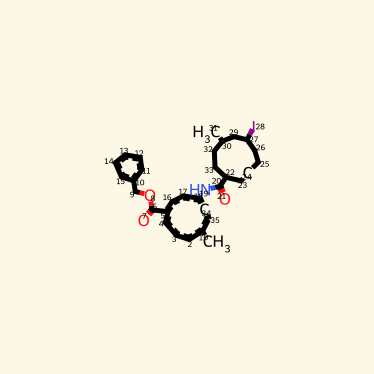 Cc1cccc(C(=O)OCc2ccccc2)ccc(NC(=O)C2CCCCC(I)CC(C)CC2)cc1